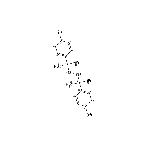 CCCc1ccc(C(C)(OOC(C)(c2ccc(CCC)cc2)C(C)C)C(C)C)cc1